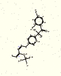 C/C=C(\C=C/Cc1ccc(C(F)(F)C(=O)c2ccc(F)cc2F)nc1)OC(F)(F)F